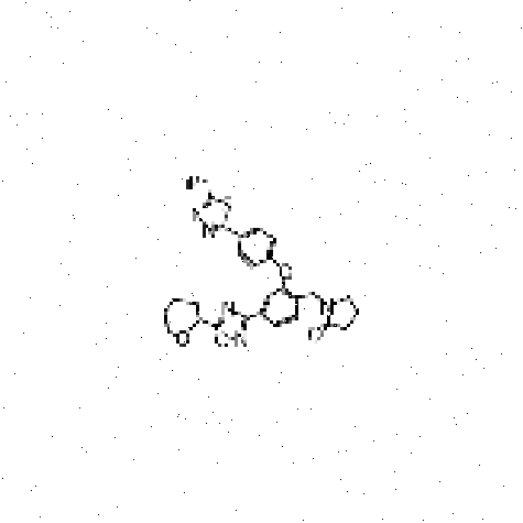 CC(C)c1nnc(-c2ccc(Oc3cc(-c4noc(C5CCCCO5)n4)ccc3CN3CCCC3=O)cc2)s1